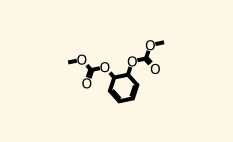 COC(=O)OC1C=CC=CC1OC(=O)OC